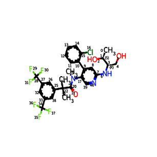 C[C@H](O)[C@@H](CO)Nc1cc(-c2ccccc2Cl)c(N(C)C(=O)C(C)(C)c2cc(C(F)(F)F)cc(C(F)(F)F)c2)cn1